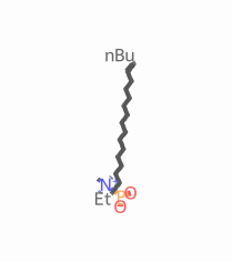 CCCCC=CCCCCCCCCCCCCCC(CC)(P(=O)=O)[N+](C)(C)C